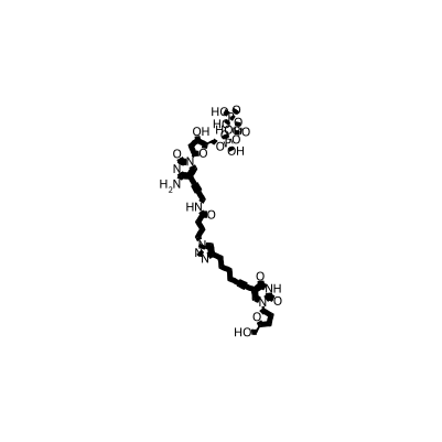 Nc1nc(=O)n([C@H]2CC(O)[C@@H](COP(=O)(O)OP(=O)(O)OP(=O)(O)O)O2)cc1C#CCNC(=O)CCCn1cc(CCCCC#Cc2cn([C@H]3CC[C@@H](CO)O3)c(=O)[nH]c2=O)nn1